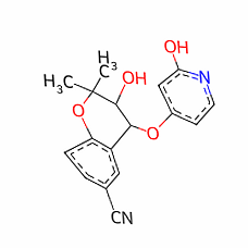 CC1(C)Oc2ccc(C#N)cc2C(Oc2ccnc(O)c2)C1O